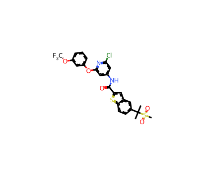 CC(C)(c1ccc2sc(C(=O)Nc3cc(Cl)nc(Oc4cccc(OC(F)(F)F)c4)c3)cc2c1)S(C)(=O)=O